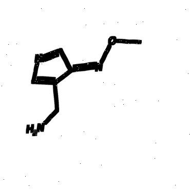 CON=C1C=NC=C1CN